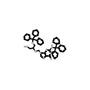 O=c1[nH]c(NC(c2ccccc2)(c2ccccc2)c2ccccc2)nc2c1ncn2COC(CO)COC(c1ccccc1)(c1ccccc1)c1ccccc1